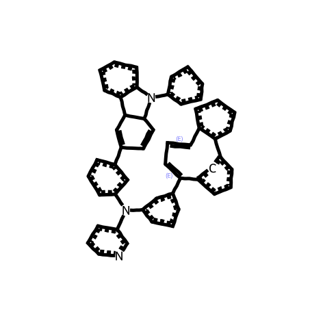 C1=CC2C(C=C1c1cccc(N(c3cccnc3)c3cccc(/C4=C/C=C/c5ccccc5-c5cccc4c5)c3)c1)c1ccccc1N2c1ccccc1